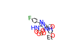 CCOc1ccc2c(c1)OCC[C@]21Cn2nc(-c3ccc(F)cc3)c(NC(=O)CS(C)(=O)=O)c2C(=O)N1